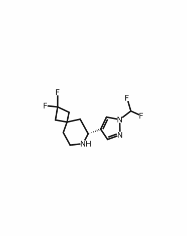 FC(F)n1cc([C@H]2CC3(CCN2)CC(F)(F)C3)cn1